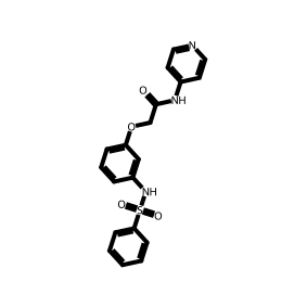 O=C(COc1cccc(NS(=O)(=O)c2ccccc2)c1)Nc1ccncc1